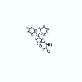 O=C1COC2(CCN(C(c3ccccc3)c3ccccc3)C2)CN1